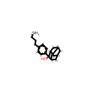 OC1(c2ccc(CCC[SiH3])cc2)C2CC3CC(C2)CC1C3